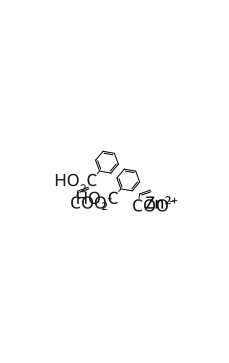 C=CC(=O)[O-].C=CC(=O)[O-].O=C(O)c1ccccc1.O=C(O)c1ccccc1.[Zn+2]